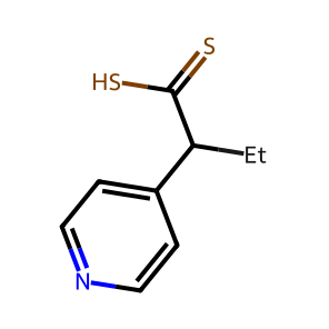 CCC(C(=S)S)c1ccncc1